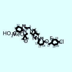 COC1(Cn2c(CN3Cc4cn(-c5cccc(OCc6ccc(Cl)cc6F)n5)nc4C3)nc3ccc(C(=O)O)cc32)COC1